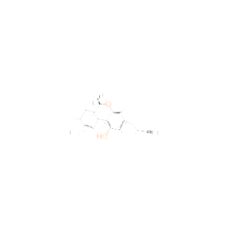 C#CCCc1cc(O)c2c(c1)OC(=C)[C@@H]1CCC(C)=CC21